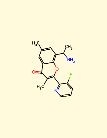 Cc1cc(C(C)N)c2oc(-c3ncccc3F)c(C)c(=O)c2c1